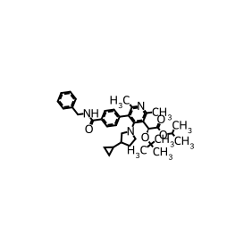 Cc1nc(C)c([C@H](OC(C)(C)C)C(=O)OC(C)C)c(N2CCC(C3CC3)C2)c1-c1ccc(C(=O)NCc2ccccc2)cc1